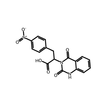 O=C(O)C(Cc1ccc([N+](=O)[O-])cc1)n1c(=O)[nH]c2ccccc2c1=O